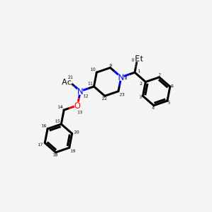 CCC(c1ccccc1)N1CCC(N(OCc2ccccc2)C(C)=O)CC1